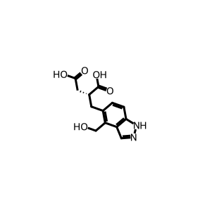 O=C(O)C[C@@H](Cc1ccc2[nH]ncc2c1CO)C(=O)O